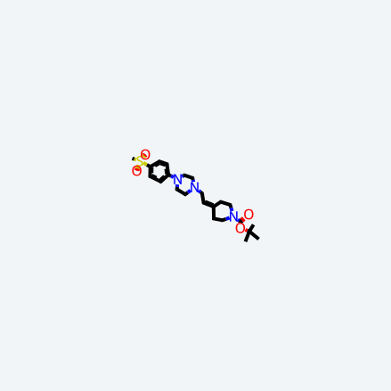 CC(C)(C)OC(=O)N1CCC(=CCN2CCN(c3ccc(S(C)(=O)=O)cc3)CC2)CC1